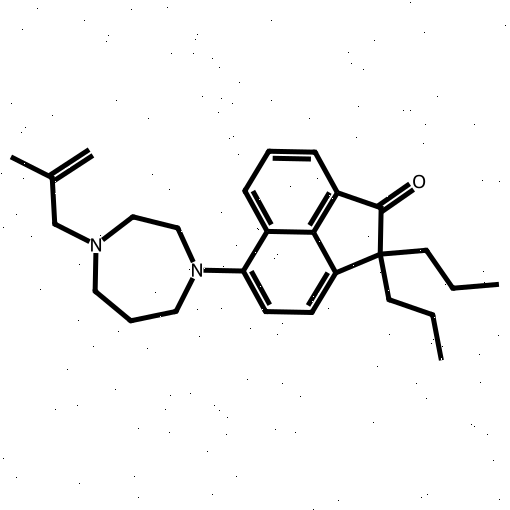 C=C(C)CN1CCCN(c2ccc3c4c(cccc24)C(=O)C3(CCC)CCC)CC1